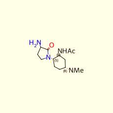 CN[C@@H]1CC[C@H](N2CCC(N)C2=O)[C@H](NC(C)=O)C1